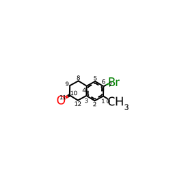 Cc1cc2c(cc1Br)CCC(=O)C2